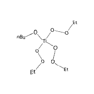 CCCC[O][Ti]([O]OCC)([O]OCC)[O]OCC